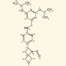 CC(C)Oc1cc(CNc2ncc(C3CC4(COC4)N3C=O)cn2)cc(OC(C)C)c1